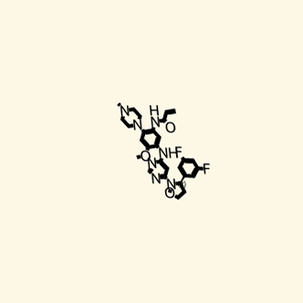 C=CC(=O)Nc1cc(Nc2cc(N3OCC[C@@H]3c3cc(F)cc(F)c3)ncn2)c(OC)cc1N1CCN(C)CC1